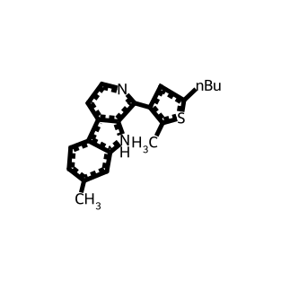 CCCCc1cc(-c2nccc3c2[nH]c2cc(C)ccc23)c(C)s1